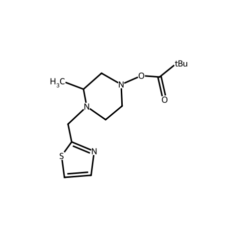 CC1CN(OC(=O)C(C)(C)C)CCN1Cc1nccs1